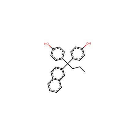 CCCC(c1ccc(O)cc1)(c1ccc(O)cc1)c1ccc2ccccc2c1